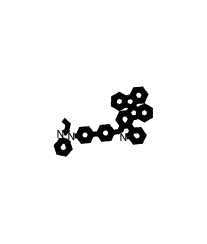 CCc1nc2ccccc2n1-c1ccc(-c2ccc(-c3nc4ccccc4c4c5c(ccc34)C3(c4ccccc4-c4ccccc43)c3ccccc3-5)cc2)cc1